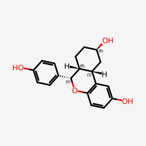 Oc1ccc([C@H]2Oc3ccc(O)cc3[C@H]3C[C@H](O)CC[C@H]32)cc1